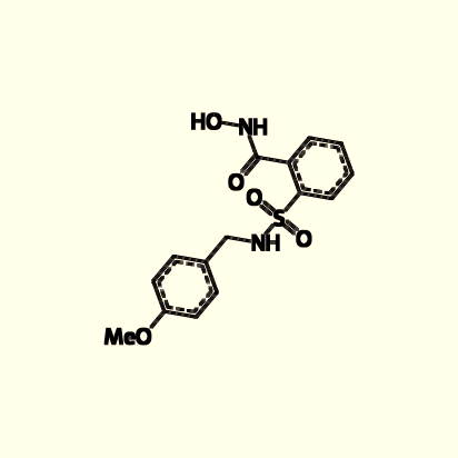 COc1ccc(CNS(=O)(=O)c2ccccc2C(=O)NO)cc1